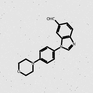 O=Cc1ccc2ncn(-c3ccc(N4CCOCC4)cc3)c2c1